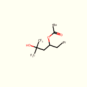 CC(C)CC(CC(O)(C(F)(F)F)C(F)(F)F)OC(=O)C(C)(C)C